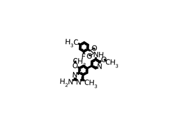 COc1ncc(-c2cc(OC)c3nc(N)nc(C)c3c2)cc1NS(=O)(=O)c1ccc(C)cc1F